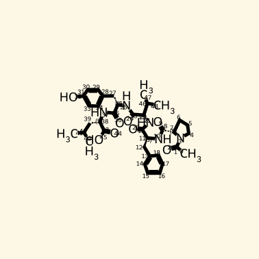 CC(=O)N1CCC[C@H]1C(=O)N[C@@H](Cc1ccccc1)C(=O)N[C@H](C(=O)N[C@@H](Cc1ccc(O)cc1)C(=O)N[C@@H](CC(C)C)C(=O)O)C(C)C